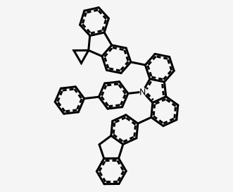 c1ccc(-c2ccc(-n3c4c(-c5ccc6c(c5)-c5ccccc5C6)cccc4c4cccc(-c5ccc6c(c5)-c5ccccc5C65CC5)c43)cc2)cc1